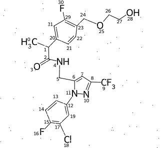 CC(C(=O)NCc1cc(C(F)(F)F)nn1-c1ccc(F)c(Cl)c1)c1ccc(COCCO)c(F)c1